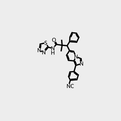 [C-]#[N+]c1ccc(-c2ncn3cc(C(c4ccccc4)C(C)(C)C(=O)Nc4nncs4)ccc23)cc1